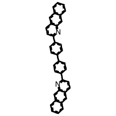 c1ccc2cc3nc(-c4ccc(-c5ccc(-c6ccc7cc8ccccc8cc7n6)cc5)cc4)ccc3cc2c1